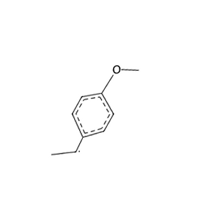 C[CH]c1ccc(OC)cc1